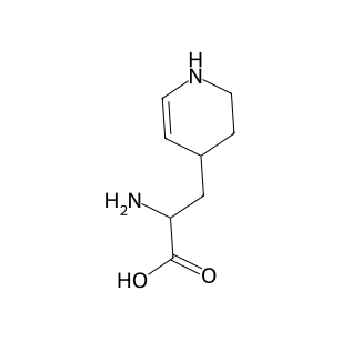 NC(CC1C=CNCC1)C(=O)O